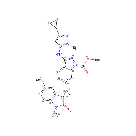 CCn1nc(C2CC2)cc1Nc1nn(C(=O)OC(C)(C)C)c2cc([C@@H]3C[C@@]34C(=O)N(C(=O)O)c3ccc(OC)cc34)ccc12